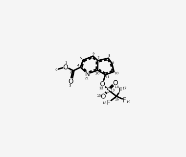 COC(=O)c1ccc2cccc(OS(=O)(=O)C(F)(F)F)c2n1